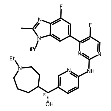 CCN1CCCC([C@@H](O)c2ccc(Nc3ncc(F)c(-c4cc(F)c5nc(C)n(C(C)C)c5c4)n3)nc2)CC1